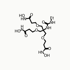 CCNC(=O)NC(COCCC(=O)NO)(COCCC(=O)NO)COCCC(=O)NO